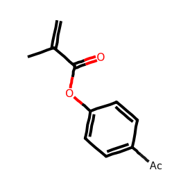 C=C(C)C(=O)Oc1ccc(C(C)=O)cc1